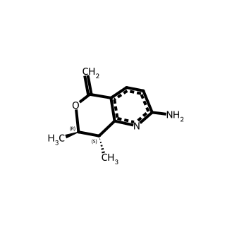 C=C1O[C@H](C)[C@@H](C)c2nc(N)ccc21